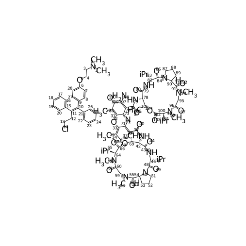 CN(C)CCOc1ccc(/C(=C(/CCCl)c2ccccc2)c2ccccc2)cc1.Cc1c2oc3c(C)ccc(C(=O)N[C@@H]4C(=O)N[C@H](C(C)C)C(=O)N5CCC[C@H]5C(=O)N(C)CC(=O)N(C)[C@@H](C(C)C)C(=O)O[C@@H]4C)c3nc-2c(C(=O)N[C@@H]2C(=O)N[C@H](C(C)C)C(=O)N3CCC[C@H]3C(=O)N(C)CC(=O)N(C)[C@@H](C(C)C)C(=O)O[C@@H]2C)c(N)c1=O